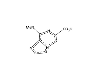 CNc1nc(C(=O)O)cn2ccnc12